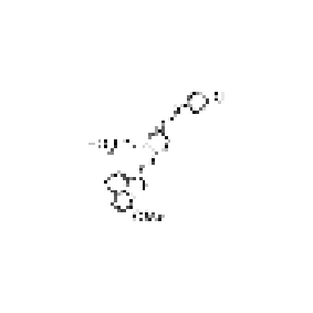 COc1ccc2nccc([C@H](F)CC[C@@H]3CCN(CCSc4ccc(Cl)cc4)C[C@H]3CCC(=O)O)c2c1